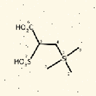 C[Si](C)(C)CC(C(=O)O)S(=O)(=O)O